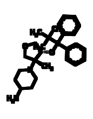 CC(C)(C)[Si](O[C@H]1COC[C@@]1(C)N1CCC(N)CC1)(c1ccccc1)c1ccccc1